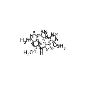 CCc1nc2c(N)ncc(-c3cnn(-c4cc(OC)ncn4)c3)c2nc1NC1CCCC1